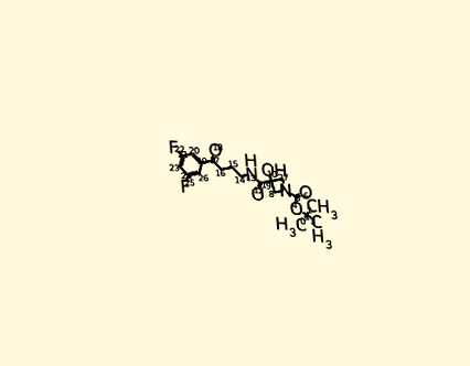 CC(C)(C)OC(=O)N1CC(O)(C(=O)NCCCC(=O)c2cc(F)cc(F)c2)C1